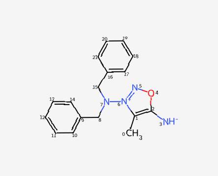 Cc1c([NH-])on[n+]1N(Cc1ccccc1)Cc1ccccc1